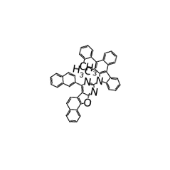 Cc1ccccc1-c1c(C)c2c(c3ccccc13)c1ccccc1n2-c1nc(-c2ccc3ccccc3c2)c2c(n1)oc1c3ccccc3ccc12